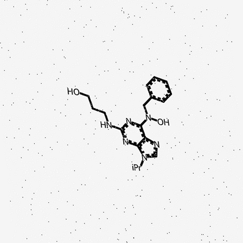 CC(C)n1cnc2c(N(O)Cc3ccccc3)nc(NCCCO)nc21